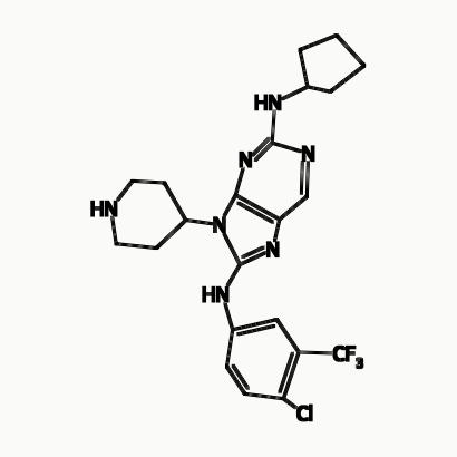 FC(F)(F)c1cc(Nc2nc3cnc(NC4CCCC4)nc3n2C2CCNCC2)ccc1Cl